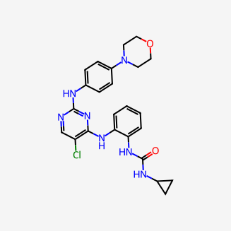 O=C(Nc1ccccc1Nc1nc(Nc2ccc(N3CCOCC3)cc2)ncc1Cl)NC1CC1